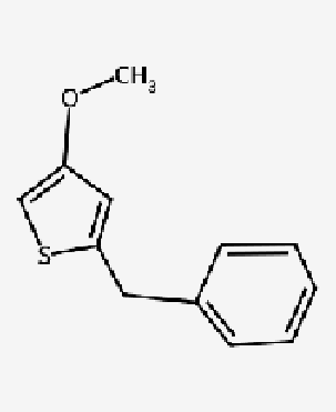 COc1csc(Cc2ccccc2)c1